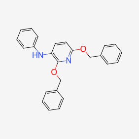 c1ccc(COc2ccc(Nc3ccccc3)c(OCc3ccccc3)n2)cc1